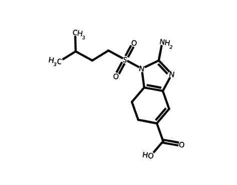 CC(C)CCS(=O)(=O)n1c(N)nc2c1CCC(C(=O)O)=C2